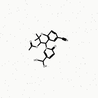 CC(=O)OC1C(n2cc(C(O)O)ccc2=O)c2cc(C#N)ccc2OC1(C)C